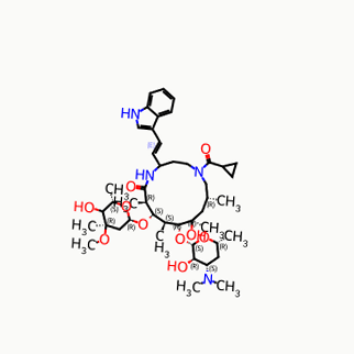 CO[C@]1(C)C[C@H](O[C@H]2[C@H](C)[C@@H](O[C@@H]3O[C@H](C)C[C@H](N(C)C)[C@H]3O)[C@](C)(O)C[C@@H](C)CN(C(=O)C3CC3)CCC(/C=C/c3c[nH]c4ccccc34)NC(=O)[C@@H]2C)O[C@@H](C)C1O